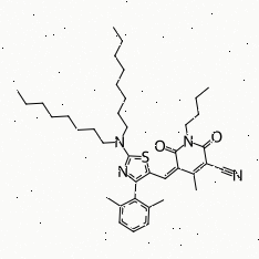 CCCCCCCCN(CCCCCCCC)c1nc(-c2c(C)cccc2C)c(/C=C2\C(=O)N(CCCC)C(=O)C(C#N)=C2C)s1